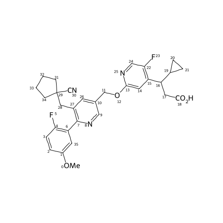 COc1ccc(F)c(-c2ncc(COc3cc(C(CC(=O)O)C4CC4)c(F)cn3)cc2CC2(C#N)CCCC2)c1